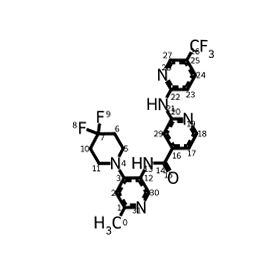 Cc1cc(N2CCC(F)(F)CC2)c(NC(=O)c2ccnc(Nc3ccc(C(F)(F)F)cn3)c2)cn1